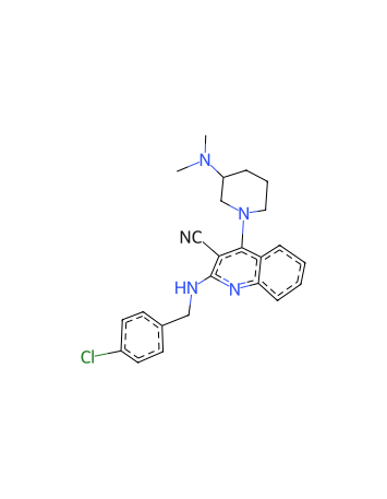 CN(C)C1CCCN(c2c(C#N)c(NCc3ccc(Cl)cc3)nc3ccccc23)C1